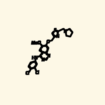 COc1cc2c(Nc3ccc(Cl)c(Cl)c3)ncnc2cc1OCc1csc(CN2CCCC2)n1